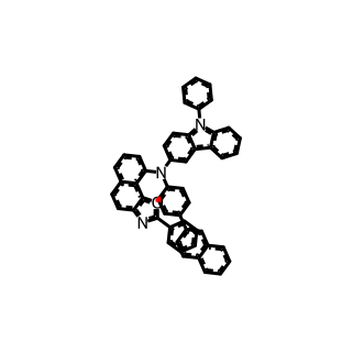 c1ccc(-c2nc3ccc4cccc(N(c5ccc(-c6ccc7ccccc7c6)cc5)c5ccc6c(c5)c5ccccc5n6-c5ccccc5)c4c3o2)cc1